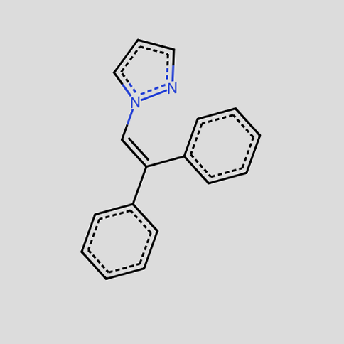 C(=C(c1ccccc1)c1ccccc1)n1cccn1